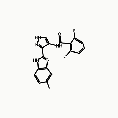 Cc1ccc2[nH]c(-c3n[nH]cc3NC(=O)c3c(F)cccc3F)nc2c1